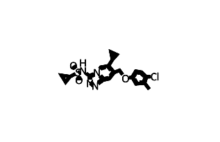 Cc1cc(OCc2cc3nnc(NS(=O)(=O)C4CC4)n3cc2C2CC2)ccc1Cl